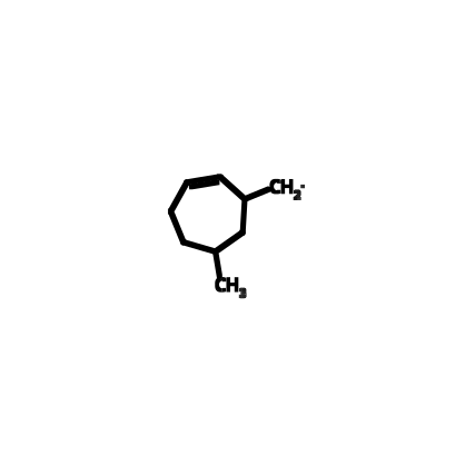 [CH2]C1C=CCCC(C)C1